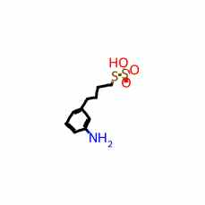 Nc1cccc(CCCCSS(=O)(=O)O)c1